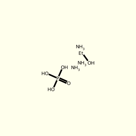 CCO.N.N.N.O=P(O)(O)O